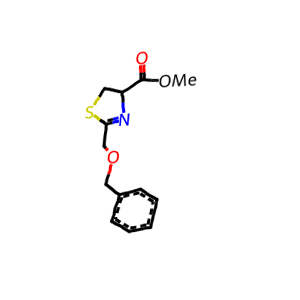 COC(=O)C1CSC(COCc2ccccc2)=N1